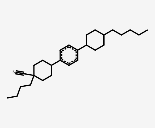 CCCCCC1CCC(c2ccc(C3CCC(C#N)(CCCC)CC3)cc2)CC1